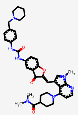 CN(C)C(=O)C1CCN(c2ccnc3c2c(/C=C2\Oc4ccc(NC(=O)Nc5ccc(CN6CCCCC6)cc5)cc4C2=O)cn3C)CC1